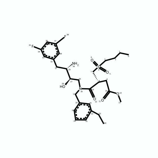 CCCCS(=O)(=O)C[C@H](CC(=O)OC)C(=O)N(Cc1cccc(CC)c1)C[C@@H](O)[C@@H](N)Cc1cc(F)cc(F)c1